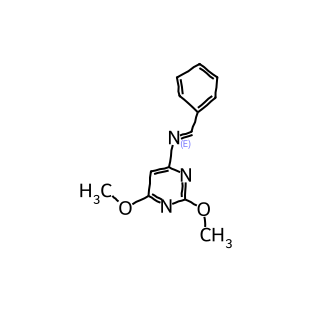 COc1cc(/N=C/c2ccccc2)nc(OC)n1